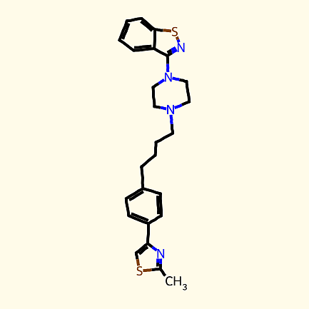 Cc1nc(-c2ccc(CCCCN3CCN(c4nsc5ccccc45)CC3)cc2)cs1